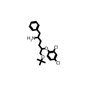 CC(C)(C)OCC(CCC(N)Cc1ccccc1)Oc1ccc(Cl)cc1Cl